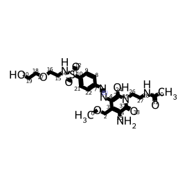 COCc1c(/N=N/c2ccc(S(=O)(=O)NCCOCCO)cc2)c(O)n(CCNC(C)=O)c(=O)c1N